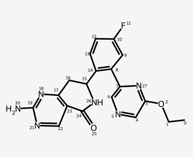 CCOc1cncc(-c2cc(F)ccc2C2Cc3nc(N)ncc3C(=O)N2)n1